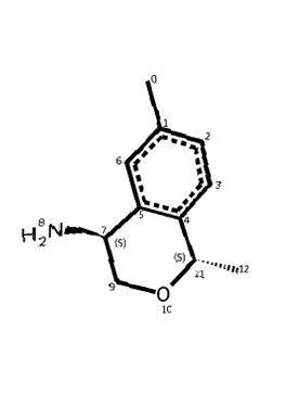 Cc1ccc2c(c1)[C@H](N)CO[C@H]2C